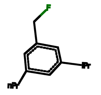 CCCc1cc(CF)cc(C(C)C)c1